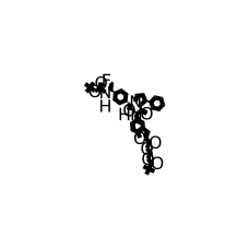 CC(C)(C)OC(=O)NC(CF)[C@H]1CC[C@H](C(=O)N2CC[C@@H](C3CCCCC3)[C@H]2C(=O)Nc2ccc3oc(C(=O)OCOC(=O)C(C)(C)C)cc3c2)CC1